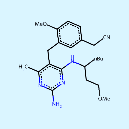 CCCCC(CCOC)Nc1nc(N)nc(C)c1Cc1cc(CC#N)ccc1OC